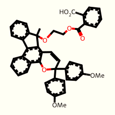 COc1ccc(C2(c3ccc(OC)cc3)C=Cc3c4c(c5ccccc5c3O2)-c2ccccc2C4(C)OCCOC(=O)c2ccccc2C(=O)O)cc1